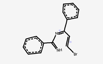 N=C(/N=C(\C=C\Br)c1ccccc1)c1ccccc1